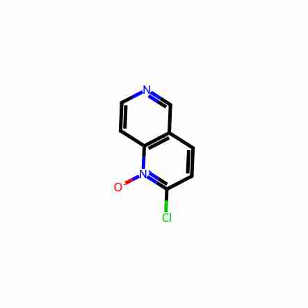 [O-][n+]1c(Cl)ccc2cnccc21